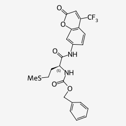 CSCC[C@H](NC(=O)OCc1ccccc1)C(=O)Nc1ccc2c(C(F)(F)F)cc(=O)oc2c1